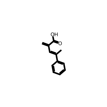 C=C(C=C(C)c1ccccc1)C(=O)O